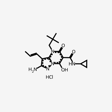 C/C=C/c1c(N)nn2c(O)c(C(=O)NC3CC3)c(=O)n(CC(C)(C)C)c12.Cl